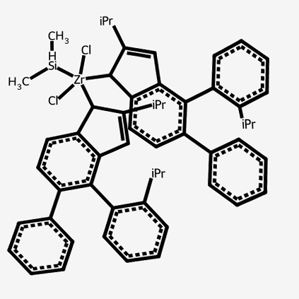 CC(C)C1=Cc2c(ccc(-c3ccccc3)c2-c2ccccc2C(C)C)[CH]1[Zr]([Cl])([Cl])([CH]1C(C(C)C)=Cc2c1ccc(-c1ccccc1)c2-c1ccccc1C(C)C)[SiH](C)C